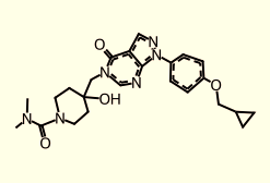 CN(C)C(=O)N1CCC(O)(Cn2cnc3c(cnn3-c3ccc(OCC4CC4)cc3)c2=O)CC1